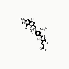 CN1c2c(nc(N)[nH]c2=O)NCC1CNc1ccc(C(=O)NC(CCC(=O)[O-])C(=O)[O-])cc1.[Mg+2]